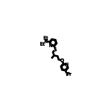 CCN(CC)c1cccc(SCC(C)CCOc2ccc(C(C)C)cn2)n1